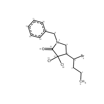 CCCC(Br)C1CN(Cc2ccccc2)C(=O)C1(Cl)Cl